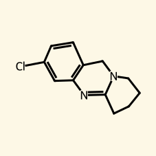 Clc1ccc2c(c1)N=C1CCCCN1C2